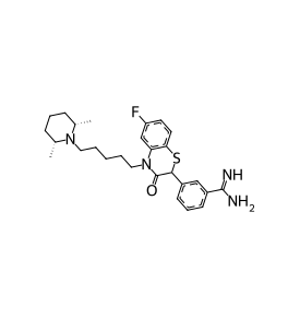 C[C@@H]1CCC[C@H](C)N1CCCCCN1C(=O)C(c2cccc(C(=N)N)c2)Sc2ccc(F)cc21